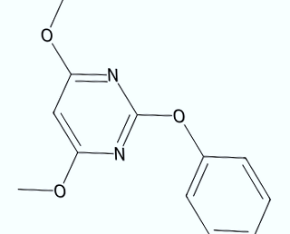 COc1cc(OC)nc(Oc2cc[c]cc2)n1